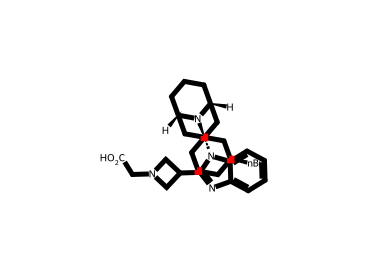 CCCC[C@H]1CCC[C@@H](N2[C@@H]3CCC[C@H]2C[C@@H](n2c(C4CN(CC(=O)O)C4)nc4ccccc42)C3)C1